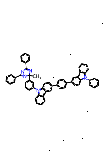 CC1(c2cccc(-n3c4ccccc4c4cc(-c5ccc(-c6ccc7c(c6)c6ccccc6n7-c6ccccc6)cc5)ccc43)c2)N=C(c2ccccc2)N2C(c3ccccc3)N21